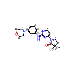 CCC1(CC)CCN(c2ccnc(Nc3cccc(N4CCOCC4)c3)n2)C1=O